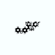 CN1CCC(Nc2ncncc2C(=N)c2ccc(Oc3ccccc3)cc2)CC1